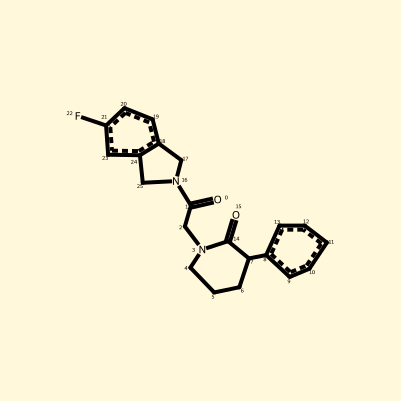 O=C(CN1CCCC(c2ccccc2)C1=O)N1Cc2ccc(F)cc2C1